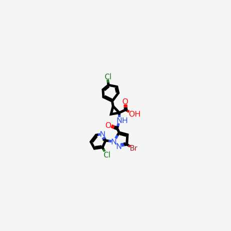 O=C(NC1(C(=O)O)CC1c1ccc(Cl)cc1)c1cc(Br)nn1-c1ncccc1Cl